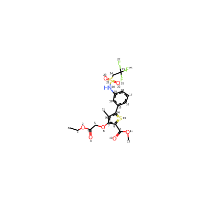 CCOC(=O)COc1c(C(=O)OC)sc(-c2cccc(NS(=O)(=O)CC(F)(F)F)c2)c1C